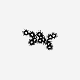 C1=Cc2cc(-c3nc(-c4cccc5c4oc4cccc(-n6c7ccc(-c8ccccc8)cc7c7c8ccccc8ccc76)c45)nc4c3sc3ccccc34)ccc2CC1